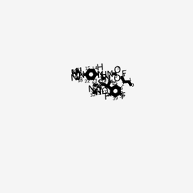 CCCC(F)OC(=O)NN(C(=S)Nc1ccc(-n2cnnn2)cc1)[C@H](C)[C@](O)(Cn1cncn1)c1ccc(F)cc1F